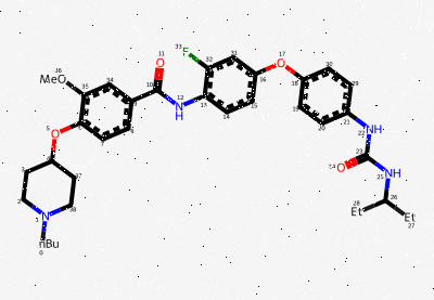 CCCCN1CCC(Oc2ccc(C(=O)Nc3ccc(Oc4ccc(NC(=O)NC(CC)CC)cc4)cc3F)cc2OC)CC1